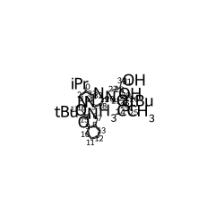 CC(C)c1cnn2c(N(Cc3ccccc3)C(=O)OC(C)(C)C)cc(N(CO[Si](C)(C)C(C)(C)C)CC(O)CO)nc12